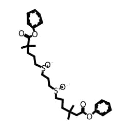 CC(C)(CCC[S+]([O-])CCC[S+]([O-])CCCC(C)(C)C(=O)Oc1ccccc1)CC(=O)Oc1ccccc1